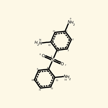 Nc1ccc(S(=O)(=O)c2ccccc2N)c(N)c1